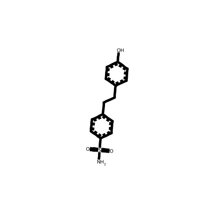 NS(=O)(=O)c1ccc(CCc2ccc(O)cc2)cc1